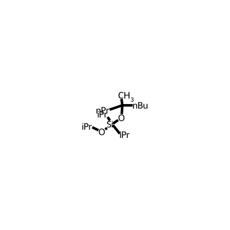 CCCCC(C)(CCC)O[Si](OC(C)C)(C(C)C)C(C)C